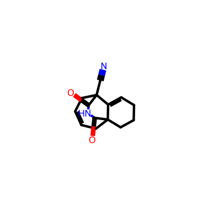 N#CC12CC=CCC3(CCCC=C13)C(=O)NC2=O